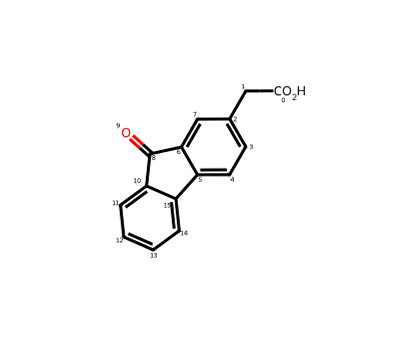 O=C(O)Cc1ccc2c(c1)C(=O)c1ccccc1-2